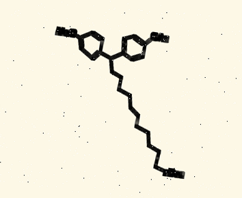 CCCCCCCCCCCCCCCCCCCCCC(c1ccc(OC)cc1)c1ccc(OC(C)=O)cc1